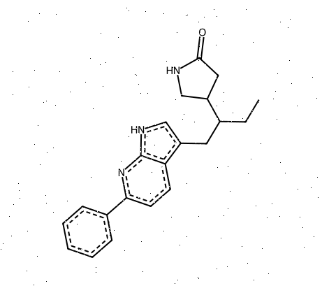 CCC(Cc1c[nH]c2nc(-c3ccccc3)ccc12)C1CNC(=O)C1